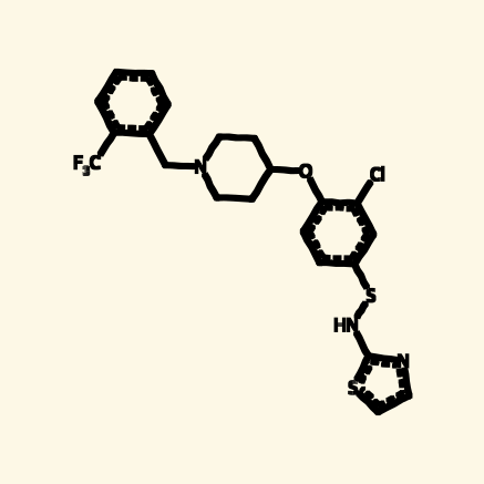 FC(F)(F)c1ccccc1CN1CCC(Oc2ccc(SNc3nccs3)cc2Cl)CC1